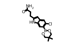 CC1(C)COB(c2cc3[nH]c(CCC(N)=O)cc3cc2Cl)OC1